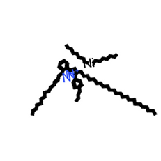 CCCCCCCCCCCC=CCCc1ccccc1C1=CC(CCCCCCCCCCCCCCCCCCCCCCCC)=C(c2ccc(CCCC)cc2)[N+]1=[N-].CCCCCCC[CH2][Ni][CH2]CCCCCCC